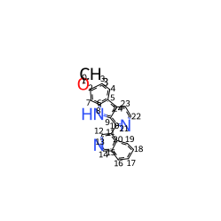 COc1ccc2c(c1)[nH]c1c(-c3cncc4ccccc34)nccc12